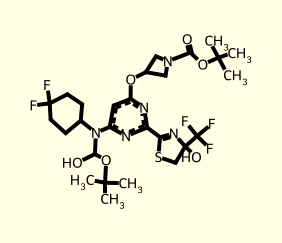 CC(C)(C)OC(=O)N1CC(Oc2cc(N(C3CCC(F)(F)CC3)C(O)OC(C)(C)C)nc(C3=NC(O)(C(F)(F)F)CS3)n2)C1